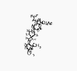 COc1nn(CC(F)F)c2nc(N3CCC4(C3)CN(c3cnc(C(F)(F)F)nc3C)C4)cnc12